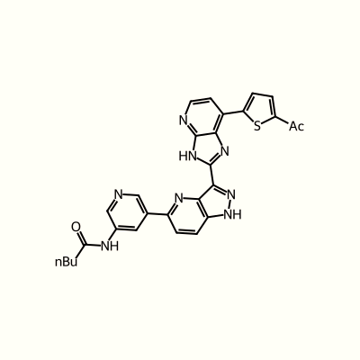 CCCCC(=O)Nc1cncc(-c2ccc3[nH]nc(-c4nc5c(-c6ccc(C(C)=O)s6)ccnc5[nH]4)c3n2)c1